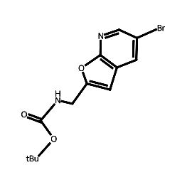 CC(C)(C)OC(=O)NCc1cc2cc(Br)cnc2o1